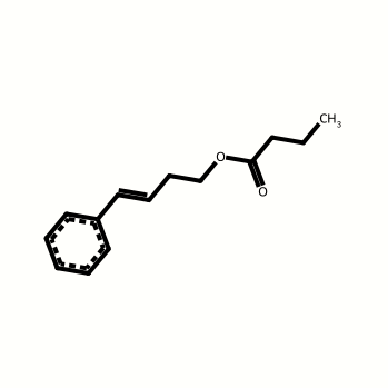 CCCC(=O)OCCC=Cc1ccccc1